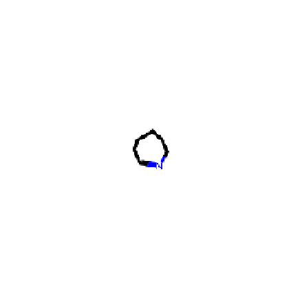 [C]1=NCCCCC1